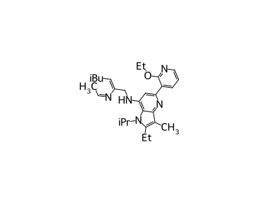 C/C=N\C(=C/C(C)CC)CNc1cc(-c2cccnc2OCC)nc2c(C)c(CC)n(C(C)C)c12